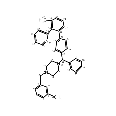 Cc1cccc(CN2CCN(C(c3ccccc3)c3ccc(-c4cccc(C)c4-c4ccccn4)cc3)CC2)c1